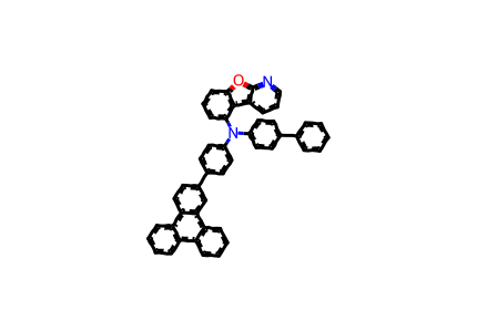 c1ccc(-c2ccc(N(c3ccc(-c4ccc5c6ccccc6c6ccccc6c5c4)cc3)c3cccc4oc5ncccc5c34)cc2)cc1